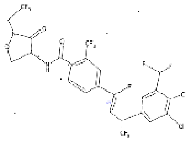 O=C(NC1CON(CC(F)(F)F)C1=O)c1ccc(/C(F)=C/C(c2cc(Cl)c(Cl)c(C(F)F)c2)C(F)(F)F)cc1C(F)(F)F